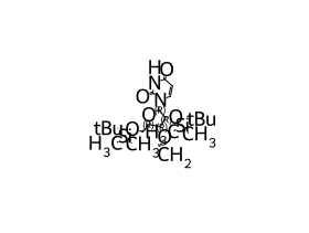 C=CO[C@H]1[C@@H](O[Si](C)(C)C(C)(C)C)[C@H](n2ccc(=O)[nH]c2=O)O[C@@H]1CO[Si](C)(C)C(C)(C)C